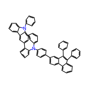 c1ccc(-c2c(-c3ccccc3)c3cc(-c4ccc(N(c5ccccc5)c5ccccc5-c5ccc6c(c5)c5ccccc5n6-c5ccccc5)cc4)ccc3c3ccccc23)cc1